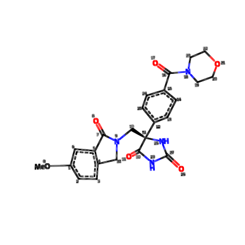 COc1ccc2c(c1)C(=O)N(C[C@@]1(c3ccc(C(=O)N4CCOCC4)cc3)NC(=O)NC1=O)C2